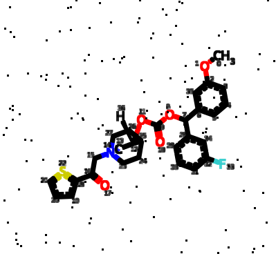 COc1cccc(C(OC(=O)O[C@H]2C[N+]3(CC(=O)c4cccs4)CCC2CC3)c2cccc(F)c2)c1